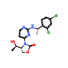 C[C@H](Nc1nccc(N2C(=O)OC[C@@H]2[C@@H](C)O)n1)c1ccc(Cl)cc1Cl